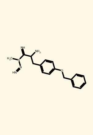 CN(N=N)C(=N)C(N)Cc1ccc(OCc2ccccc2)cc1